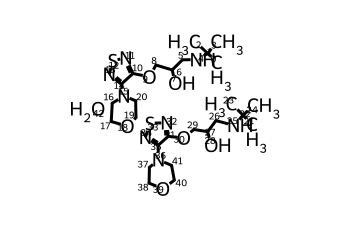 CC(C)(C)NCC(O)COc1nsnc1N1CCOCC1.CC(C)(C)NCC(O)COc1nsnc1N1CCOCC1.O